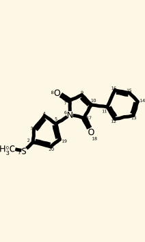 CSc1ccc(N2C(=O)C=C(c3ccccc3)C2=O)cc1